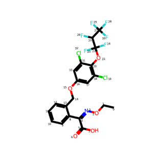 CCON=C(C(=O)O)c1ccccc1COc1cc(Cl)c(OC(F)(F)C(F)C(F)(F)F)c(Cl)c1